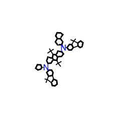 CC(C)(C)c1c2ccc(N(c3ccc4c(c3)C(C)(C)c3ccccc3-4)c3ccc4ccccc4c3)cc2c(C(C)(C)C)c2ccc(N(c3ccccc3)c3ccc4c(c3)C(C)(C)c3ccccc3-4)cc12